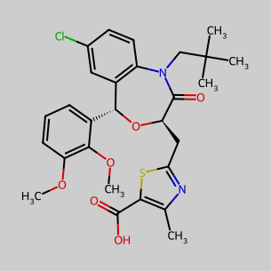 COc1cccc([C@H]2O[C@H](Cc3nc(C)c(C(=O)O)s3)C(=O)N(CC(C)(C)C)c3ccc(Cl)cc32)c1OC